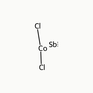 [Cl][Co][Cl].[Sb]